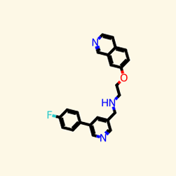 Fc1ccc(-c2cncc(CNCCOc3ccc4ccncc4c3)c2)cc1